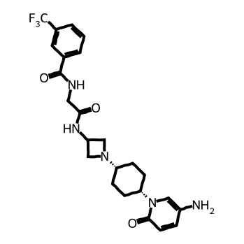 Nc1ccc(=O)n([C@H]2CC[C@@H](N3CC(NC(=O)CNC(=O)c4cccc(C(F)(F)F)c4)C3)CC2)c1